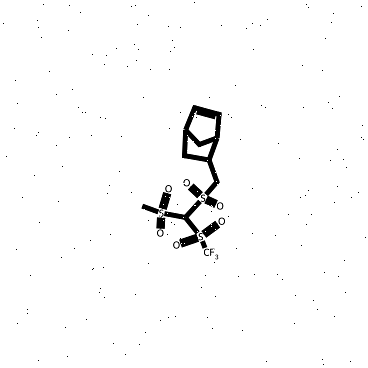 CS(=O)(=O)C(S(=O)(=O)CC1CC2C=CC1C2)S(=O)(=O)C(F)(F)F